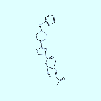 CC(=O)c1ccc(NC(=O)c2csc(N3CCC(Oc4ncccn4)CC3)n2)c(Br)c1